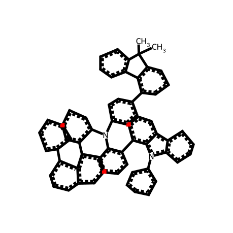 CC1(C)c2ccccc2-c2c(-c3ccc(N(c4ccccc4-c4cccc5cccc(-c6ccccc6)c45)c4ccccc4-c4cccc5c6ccccc6n(-c6ccccc6)c45)cc3)cccc21